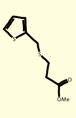 COC(=O)CCSCc1cccs1